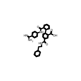 N=C(N)c1ccc(NC(=O)c2ccccc2-c2ccc(C(=O)NCCc3ccccc3)cc2C(=O)O)cc1